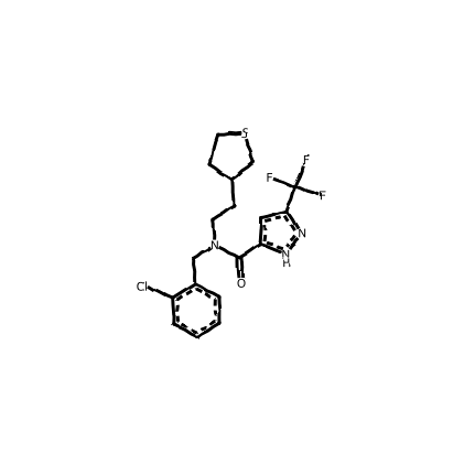 O=C(c1cc(C(F)(F)F)n[nH]1)N(CCC1CCSC1)Cc1ccccc1Cl